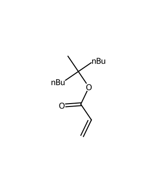 C=CC(=O)OC(C)(CCCC)CCCC